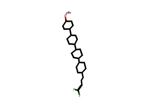 CCCCOC1CCC(C2CCC(C3CCC(C4CCC(CCC=C(F)F)CC4)CC3)CC2)CC1